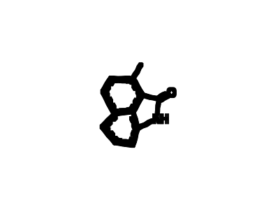 Cc1ccc2cccc3c2c1C(=O)N3